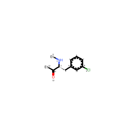 CCN[C@H](Cc1cccc(Cl)c1)C(=O)CC